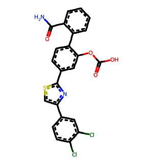 NC(=O)c1ccccc1-c1ccc(-c2nc(-c3ccc(Cl)c(Cl)c3)cs2)cc1OC(=O)O